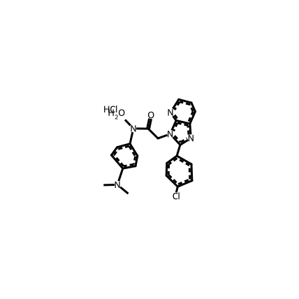 CN(C)c1ccc(N(C)C(=O)Cn2c(-c3ccc(Cl)cc3)nc3cccnc32)cc1.Cl.O